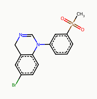 CS(=O)(=O)c1cccc(N2C=NCc3cc(Br)ccc32)c1